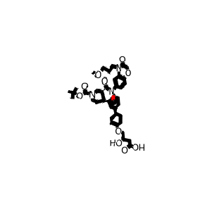 COCCCN1C(=O)COc2ccc(N(C(=O)[C@H]3CN(C(=O)OC(C)(C)C)CC[C@@H]3c3cccc(-c4ccc(OCC(O)CC(=O)O)cc4)c3)C3CC3)cc21